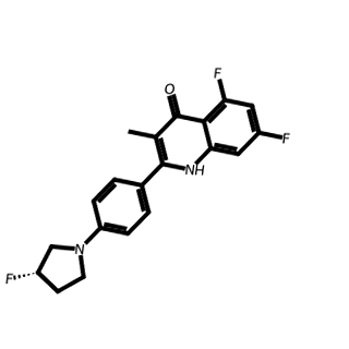 Cc1c(-c2ccc(N3CC[C@H](F)C3)cc2)[nH]c2cc(F)cc(F)c2c1=O